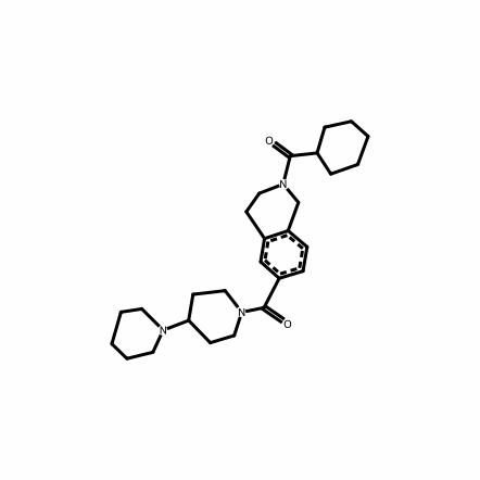 O=C(c1ccc2c(c1)CCN(C(=O)C1CCCCC1)C2)N1CCC(N2CCCCC2)CC1